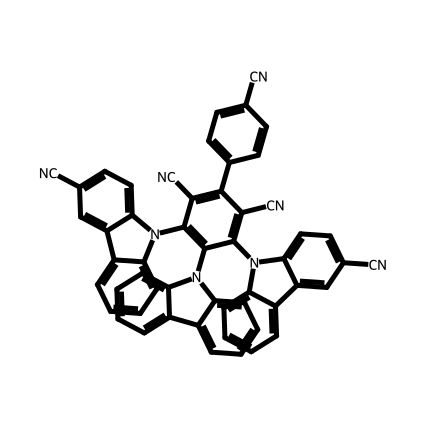 N#Cc1ccc(-c2c(C#N)c(-n3c4ccccc4c4cc(C#N)ccc43)c(-n3c4ccccc4c4ccccc43)c(-n3c4ccccc4c4cc(C#N)ccc43)c2C#N)cc1